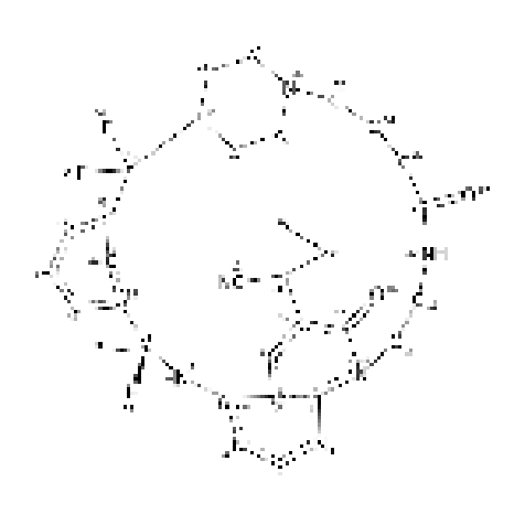 C[C@H]1Nc2ncnc3c2cc(C2(C#N)CC2)c(=O)n3CCNC(=O)CCCN2CCC(CC2)C(F)(F)c2cccc1c2